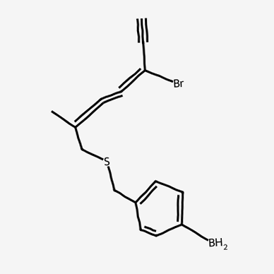 Bc1ccc(CSCC(C)=C=C=C(Br)C#C)cc1